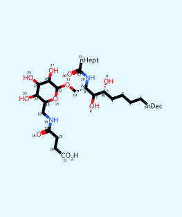 CCCCCCCCCCCCCC[C@@H](O)C(O)[C@H](COC1OC(CNC(=O)CCC(=O)O)C(O)C(O)C1O)NC(=O)CCCCCCC